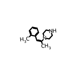 CC(=Cc1ccccc1C)N1CCNCC1